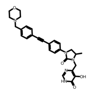 CC1CN(c2ccc(C#Cc3ccc(CN4CCOCC4)cc3)cc2)C(=O)N1Cc1nc[nH]c(=O)c1O